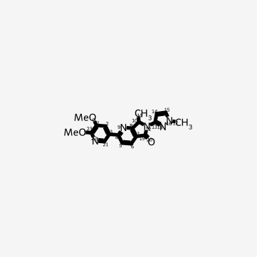 COc1cc(-c2ccc3c(n2)C(C)N(c2ccn(C)n2)C3=O)cnc1OC